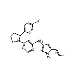 C/C=C/c1cc(Nc2cc(N3CCCC3c3ccc(F)cc3)ncn2)n[nH]1